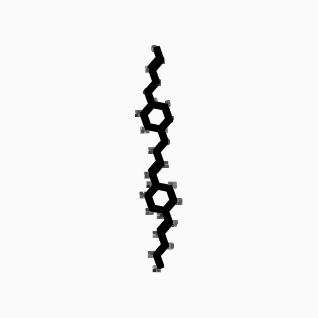 CC=CCCC1CCC(CCC=CC2CCC(C=CCCC)CC2)CC1